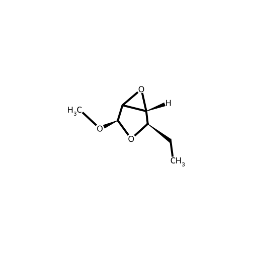 CC[C@H]1O[C@@H](OC)C2O[C@@H]21